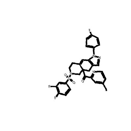 Cc1ccnc(C(=O)C23Cc4cnn(-c5ccc(F)cc5)c4C=C2CCN(S(=O)(=O)c2ccc(F)c(F)c2)C3)c1